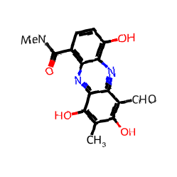 CNC(=O)c1ccc(O)c2nc3c(C=O)c(O)c(C)c(O)c3nc12